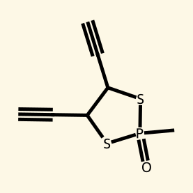 C#CC1SP(C)(=O)SC1C#C